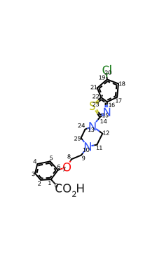 O=C(O)c1ccccc1OCCN1CCN(c2nc3ccc(Cl)cc3s2)CC1